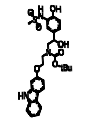 CC(C)(C)OC(=O)N(CCOc1ccc2c(c1)[nH]c1ccccc12)CC(O)c1ccc(O)c(NS(C)(=O)=O)c1